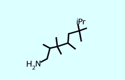 CC(C)C(C)(C)CC(C)C(C)(C)C(C)CN